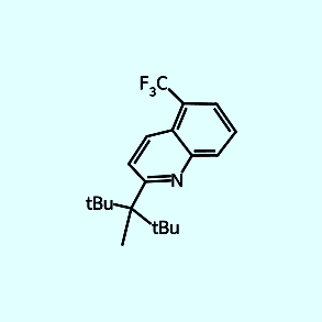 CC(C)(C)C(C)(c1ccc2c(C(F)(F)F)cccc2n1)C(C)(C)C